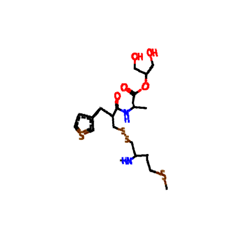 CSCCC([NH])CSSCC(Cc1ccsc1)C(=O)NC(C)C(=O)OC(CO)CO